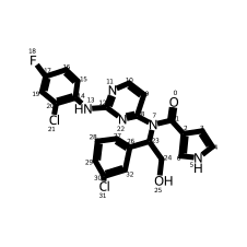 O=C(c1cc[nH]c1)N(c1ccnc(Nc2ccc(F)cc2Cl)n1)C(CO)c1cccc(Cl)c1